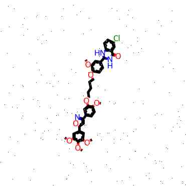 COc1cc(C2NC(=O)c3cc(Cl)ccc3N2)ccc1OCCCCCOc1cc(-c2cc(-c3cc(OC)c(OC)c(OC)c3)on2)ccc1OC